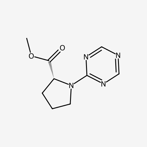 COC(=O)[C@H]1CCCN1c1ncncn1